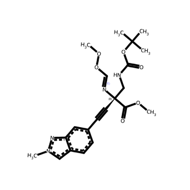 COO/C=N/[C@](C#Cc1ccc2cn(C)nc2c1)(CNC(=O)OC(C)(C)C)C(=O)OC